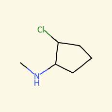 CNC1CCCC1Cl